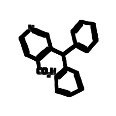 O=C(O)c1ccncc1C(c1ccccc1)c1ccccc1